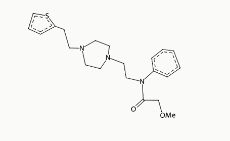 COCC(=O)N(CCN1CCN(CCc2cccs2)CC1)c1ccccc1